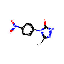 Cc1n[nH]c(=O)n1-c1ccc([N+](=O)[O-])cc1